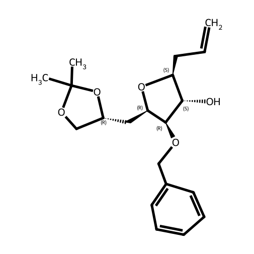 C=CC[C@@H]1O[C@H](C[C@@H]2COC(C)(C)O2)[C@H](OCc2ccccc2)[C@H]1O